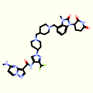 CNc1ccn2ncc(C(=O)Nc3cn(C4CCN(CC5CCN(Cc6cccc7c6n(C)c(=O)n7C6CCC(=O)NC6=O)CC5)CC4)nc3C(F)F)c2n1